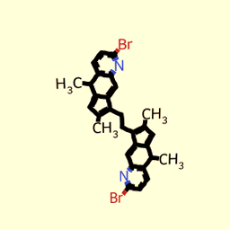 CC1=C(CCC2=C(C)C=C3C2=Cc2nc(Br)ccc2C3C)C2=Cc3nc(Br)ccc3C(C)C2=C1